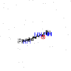 CCNCC(=O)NCCCCCCCCNC(C)C